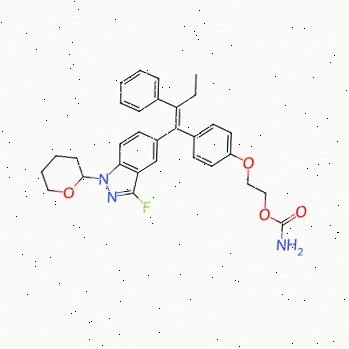 CCC(=C(c1ccc(OCCOC(N)=O)cc1)c1ccc2c(c1)c(F)nn2C1CCCCO1)c1ccccc1